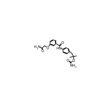 CC(C)(Cc1ccc(NC(=O)c2cccc(OCC(N)=O)c2)cc1)OC(N)=O